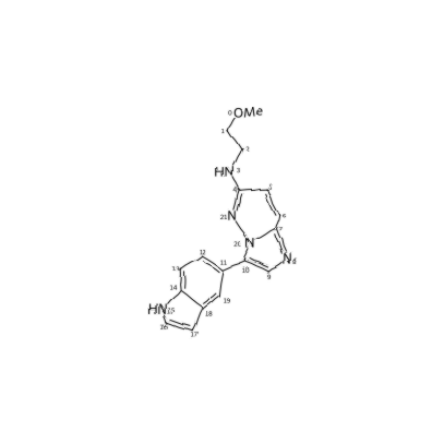 COCCNc1ccc2ncc(-c3ccc4[nH]ccc4c3)n2n1